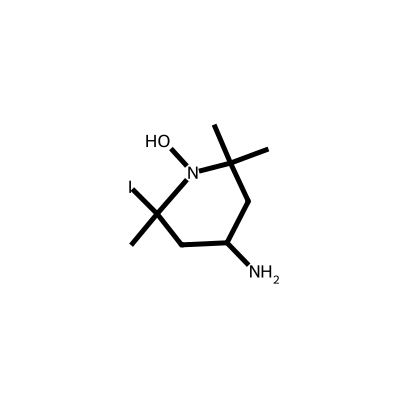 CC1(C)CC(N)CC(C)(I)N1O